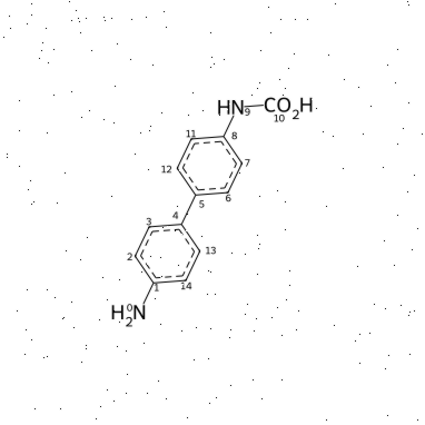 Nc1ccc(-c2ccc(NC(=O)O)cc2)cc1